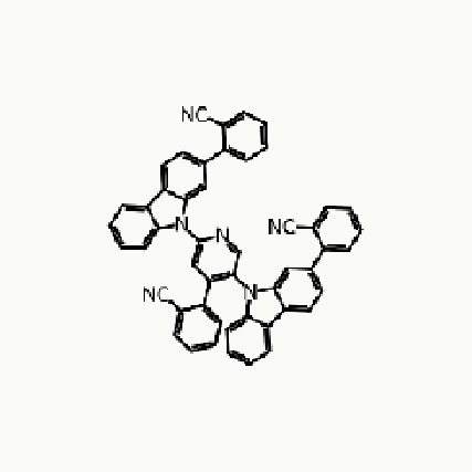 N#Cc1ccccc1-c1ccc2c3ccccc3n(-c3cc(-c4ccccc4C#N)c(-n4c5ccccc5c5ccc(-c6ccccc6C#N)cc54)cn3)c2c1